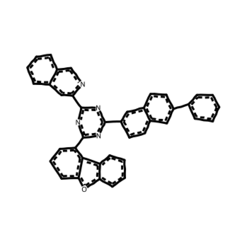 c1ccc(-c2ccc3cc(-c4nc(-c5cc6ccccc6cn5)nc(-c5cccc6oc7ccccc7c56)n4)ccc3c2)cc1